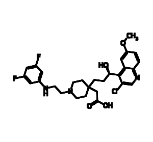 COc1ccc2ncc(Cl)c([C@H](O)CCC3(CC(=O)O)CCN(CCNc4cc(F)cc(F)c4)CC3)c2c1